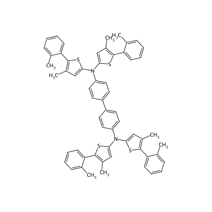 Cc1ccccc1-c1sc(N(c2ccc(-c3ccc(N(c4cc(C)c(-c5ccccc5C)s4)c4cc(C)c(-c5ccccc5C)s4)cc3)cc2)c2cc(C)c(-c3ccccc3C)s2)cc1C